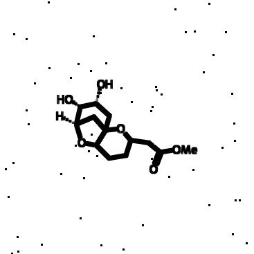 COC(=O)CC1CCC2O[C@@H]3CC2(C[C@@H](O)[C@H]3O)O1